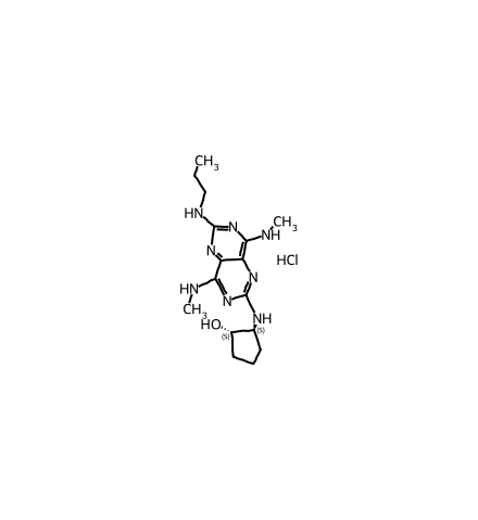 CCCNc1nc(NC)c2nc(N[C@H]3CCC[C@@H]3O)nc(NC)c2n1.Cl